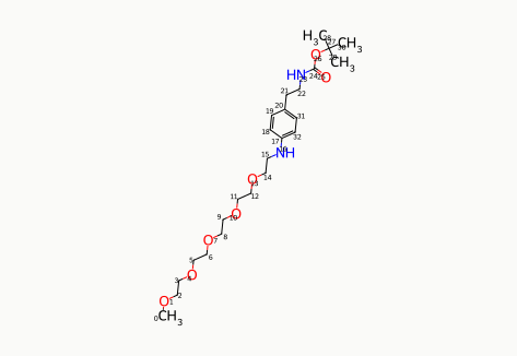 COCCOCCOCCOCCOCCNc1ccc(CCNC(=O)OC(C)(C)C)cc1